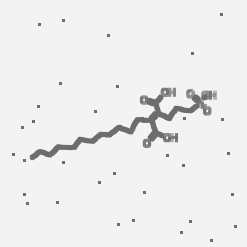 CCCCCCCCCCCCC(C(=O)O)=C(CCCS(=O)(=O)O)C(=O)O